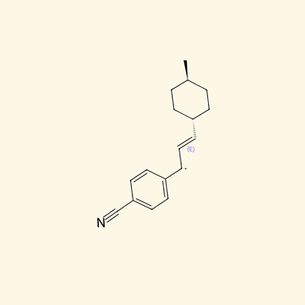 C[C@H]1CC[C@H](/C=C/[CH]c2ccc(C#N)cc2)CC1